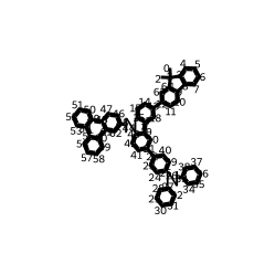 CC1(C)c2ccccc2-c2ccc(-c3ccc4c(c3)c3cc(-c5ccc(N(c6ccccc6)c6ccccc6)cc5)ccc3n4-c3ccc4c5ccccc5c5ccccc5c4c3)cc21